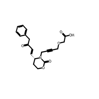 O=C(O)COCC#CCN1C(=O)OCC[C@@H]1/C=C/C(=O)Cc1ccccc1